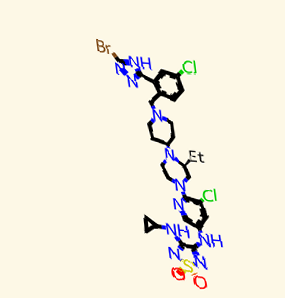 CC[C@H]1CN(c2ncc(NC3=NS(=O)(=O)N=C3NC3CC3)cc2Cl)CCN1C1CCN(Cc2ccc(Cl)cc2-c2nnc(Br)[nH]2)CC1